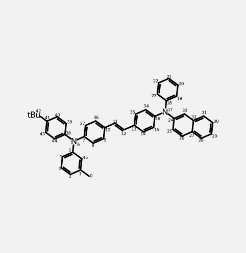 Cc1cccc(N(c2ccc(/C=C/c3ccc(N(c4ccccc4)c4ccc5ccccc5c4)cc3)cc2)c2ccc(C(C)(C)C)cc2)c1